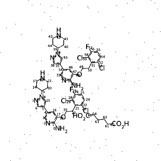 Nc1ncc(-c2cnn(C3CCNCC3)c2)cc1OCCc1c(Cl)ccc(F)c1Cl.Nc1ncc(-c2cnn(C3CCNCC3)c2)cc1OCCc1c(Cl)ccc(F)c1Cl.O=C(O)CCCCC(=O)O